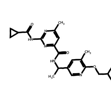 Cc1cc(C(=O)NC(C)c2cnc(OCC(F)F)c(C)c2)nc(NC(=O)C2CC2)n1